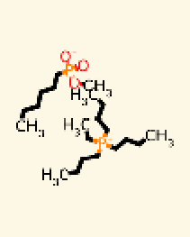 CCCCCCP(=O)([O-])OC.CCCC[P+](CC)(CCCC)CCCC